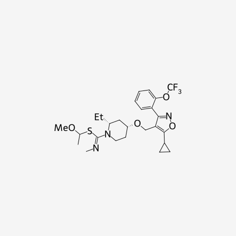 CC[C@@H]1C[C@H](OCc2c(-c3ccccc3OC(F)(F)F)noc2C2CC2)CCN1/C(=N/C)SC(C)OC